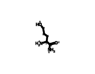 NC(=O)C(N)CCCO